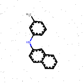 Cc1cccc(Nc2ccc3ccccc3c2)c1